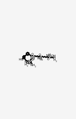 NCC(O)CNC(=O)[C@@H](N)CCCCNC(=O)[C@@H](N)CCCNC(=O)[C@@H]1Cc2cccc(c2)-c2ccc(O)c(c2)C[C@H](N)C(=O)N[C@@H](C[C@@H](O)CN)C(=O)N1